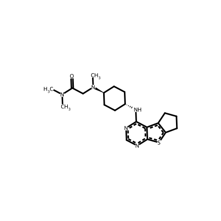 CN(C)C(=O)CN(C)[C@H]1CC[C@H](Nc2ncnc3sc4c(c23)CCC4)CC1